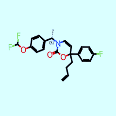 C=CCCC1(c2ccc(F)cc2)C=CN([C@@H](C)c2ccc(OC(F)F)cc2)C(=O)O1